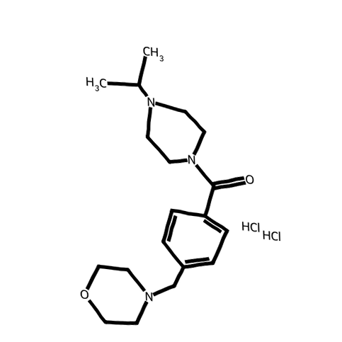 CC(C)N1CCN(C(=O)c2ccc(CN3CCOCC3)cc2)CC1.Cl.Cl